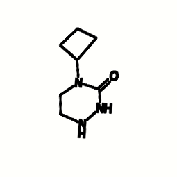 O=C1NNCCN1C1CCC1